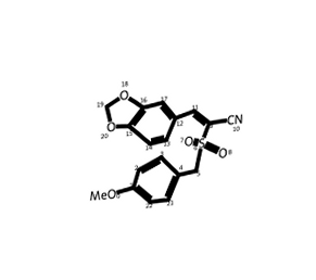 COc1ccc(CS(=O)(=O)C(C#N)=Cc2ccc3c(c2)OCO3)cc1